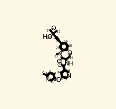 Cc1ccc(Oc2cncc(C(=O)NC3COc4ccc(C#CC5(O)COC5)cc4N(C)C3=O)c2)cn1